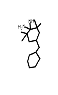 CC1(C)CC(CC2CCCCC2)CC(C)(C)C1(N)N